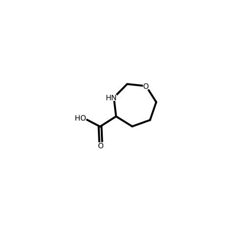 O=C(O)C1CCCOCN1